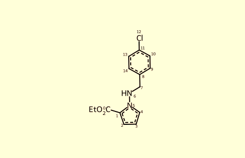 CCOC(=O)c1cccn1NCc1ccc(Cl)cc1